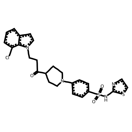 O=C(CCn1ccc2cccc(Cl)c21)C1CCN(c2ccc(S(=O)(=O)Nc3nccs3)cc2)CC1